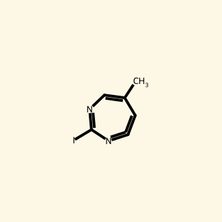 CC1=CN=C(I)N=C=C1